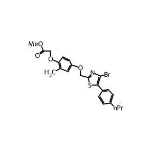 CCCc1ccc(-c2sc(COc3ccc(OCC(=O)OC)c(C)c3)nc2Br)cc1